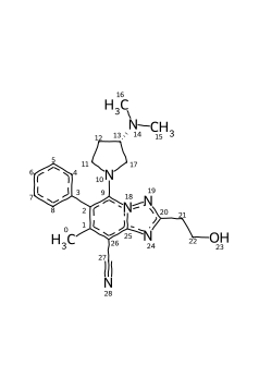 Cc1c(-c2ccccc2)c(N2CC[C@H](N(C)C)C2)n2nc(CCO)nc2c1C#N